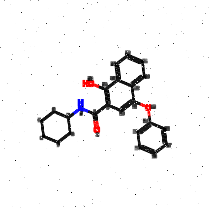 O=C(NC1CCCCC1)c1cc(Oc2ccccc2)c2ccccc2c1O